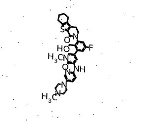 CN1CCN(c2ccc(Nc3cc(-c4cc(F)cc(N5CCc6c(sc7c6CCCC7)C5=O)c4CO)cn(C)c3=O)nc2)CC1